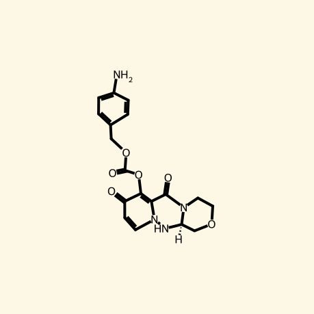 Nc1ccc(COC(=O)Oc2c3n(ccc2=O)N[C@@H]2COCCN2C3=O)cc1